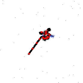 C#CC#CC#CC#CC#CC#CC#CC#CC#CC#CC#CCC(=O)N[C@@H](CO[C@H]1OC(COCCCN=[N+]=[N-])[C@H](OCc2ccccc2)[C@H](C)C1OCc1ccccc1)[C@H](O[Si](C)(C)C(C)(C)C)[C@@H](CC1CCCC1)O[Si](C)(C)C(C)(C)C